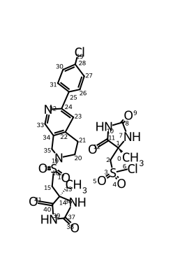 C[C@]1(CS(=O)(=O)Cl)NC(=O)NC1=O.C[C@]1(CS(=O)(=O)N2CCc3cc(-c4ccc(Cl)cc4)ncc3C2)NC(=O)NC1=O